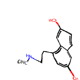 O=CNCCc1cc(O)cc2ccc(O)cc12